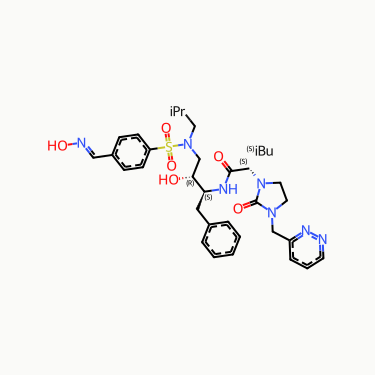 CC[C@H](C)[C@@H](C(=O)N[C@@H](Cc1ccccc1)[C@H](O)CN(CC(C)C)S(=O)(=O)c1ccc(C=NO)cc1)N1CCN(Cc2cccnn2)C1=O